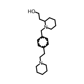 OCCC1CCCCN1Cc1ccc(CCN2CCCCC2)cc1